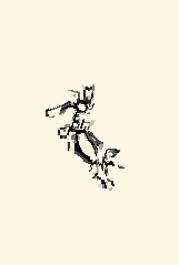 C#CCN(C(=O)C=C)c1ccc(C(=O)NCc2ccc(Cl)cc2Cl)cc1